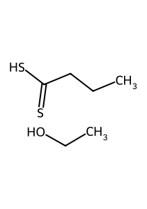 CCCC(=S)S.CCO